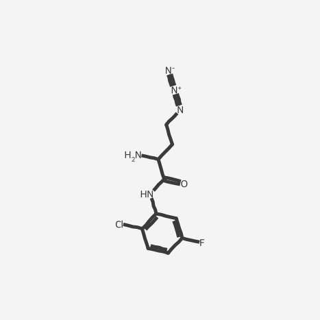 [N-]=[N+]=NCCC(N)C(=O)Nc1cc(F)ccc1Cl